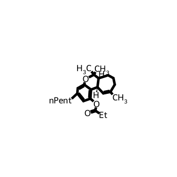 CCCCCc1cc(OC(=O)CC)c2c(c1)OC(C)(C)[C@H]1CCCC(C)=C[C@@H]21